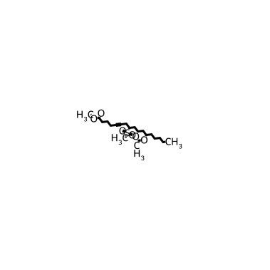 CCCCCC(CCCC(CC#CCCCC(=O)OC)S(C)(=O)=O)OC(C)=O